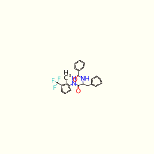 Cc1c(NC(=O)C(Cc2ccccc2)NC(=O)c2ccccc2)cccc1C(F)(F)F